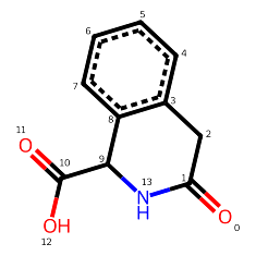 O=C1Cc2ccccc2C(C(=O)O)N1